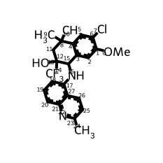 COc1cc2c(cc1Cl)C(C)(C)CC(O)(C(F)(F)F)C2Nc1cccc2nc(C)ccc12